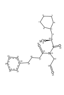 N[C@@H](CC1CCCCC1)C(=O)N(C[C]=O)C(=O)CCCc1ccccc1